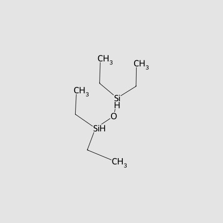 CC[SiH](CC)O[SiH](CC)CC